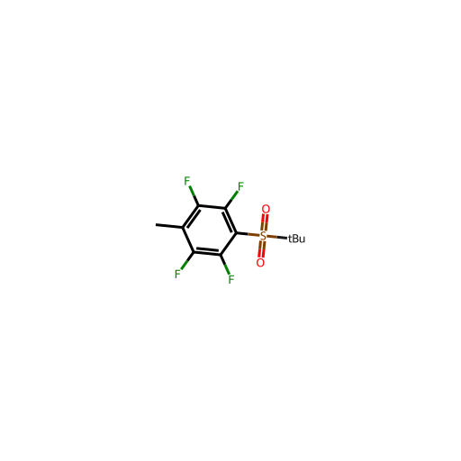 Cc1c(F)c(F)c(S(=O)(=O)C(C)(C)C)c(F)c1F